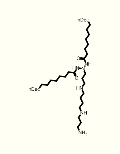 CCCCCCCCCCCCCCCCCC(=O)NN(CCCNCCCCNCCCN)NC(=O)CCCCCCCCCCCCCCCCC